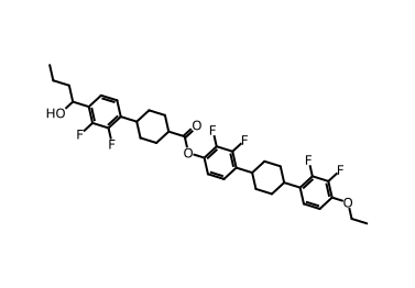 CCCC(O)c1ccc(C2CCC(C(=O)Oc3ccc(C4CCC(c5ccc(OCC)c(F)c5F)CC4)c(F)c3F)CC2)c(F)c1F